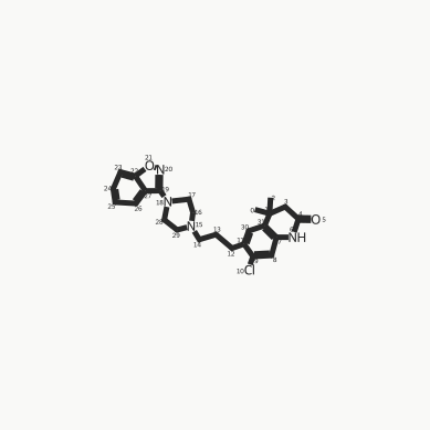 CC1(C)CC(=O)Nc2cc(Cl)c(CCCN3CCN(c4noc5ccccc45)CC3)cc21